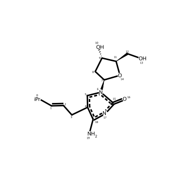 CC(C)/C=C/Cc1cn([C@H]2C[C@H](O)[C@@H](CO)O2)c(=O)nc1N